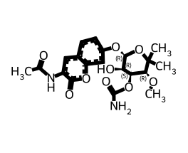 CO[C@@H]1[C@@H](OC(N)=O)[C@@H](O)[C@H](Oc2ccc3cc(NC(C)=O)c(=O)oc3c2)OC1(C)C